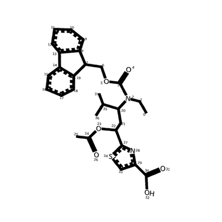 CCN(C(=O)OCC1c2ccccc2-c2ccccc21)C(CC(OC(C)=O)c1nc(C(=O)O)cs1)C(C)C